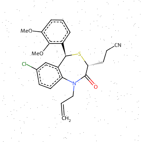 C=CCN1C(=O)[C@@H](CCC#N)S[C@H](c2cccc(OC)c2OC)c2cc(Cl)ccc21